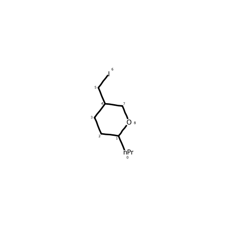 CCCC1CCC(CI)CO1